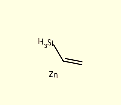 C=C[SiH3].[Zn]